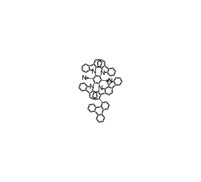 N#Cc1c(-n2c3ccccc3c3ccccc32)c(-n2c3ccccc3c3ccccc32)c(C#N)c(-n2c3cccc(-c4cccc5c6ccccc6c6ccccc6c45)c3c3ccc4c5ccccc5oc4c32)c1-n1c2ccccc2c2ccccc21